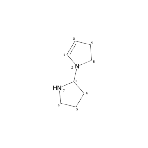 [C]1=CN(C2CCCN2)CC1